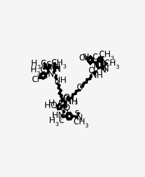 Cc1ncsc1-c1ccc([C@H](C)NC(=O)[C@@H]2C[C@@H](O)CN2C(=O)[C@@H](NC(=O)CCCCCOCCCCCCNC(=O)C[C@@H]2N=C(c3ccc(Cl)cc3)c3c(sc(C)c3C)-n3c(C)nnc32)C(C)(C)SCCCCCCNCC[C@@H]2N=C(c3ccc(Cl)cc3)c3c(sc(C)c3C)-n3c(C)nnc32)cc1